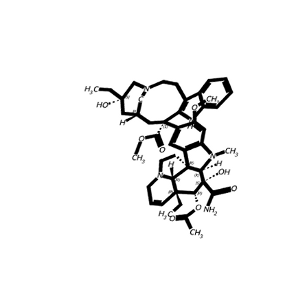 CC[C@]1(O)C[C@@H]2CN(CCc3c([nH]c4ccccc34)[C@@](C(=O)OC)(c3cc4c(cc3OC)N(C)[C@H]3[C@@](O)(C(N)=O)[C@H](OC(C)=O)[C@]5(CC)C=CCN6CC[C@]43[C@@H]65)C2)C1